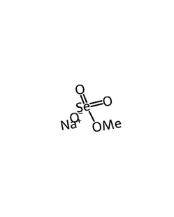 CO[Se](=O)(=O)[O-].[Na+]